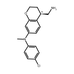 CN(c1ccc(Cl)cc1)c1ccc2c(c1)OCC[C@H]2CN